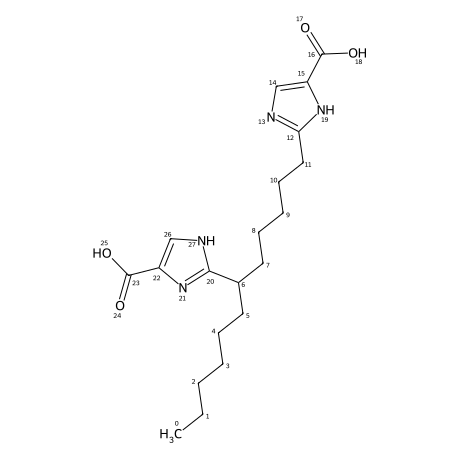 CCCCCCC(CCCCCc1ncc(C(=O)O)[nH]1)c1nc(C(=O)O)c[nH]1